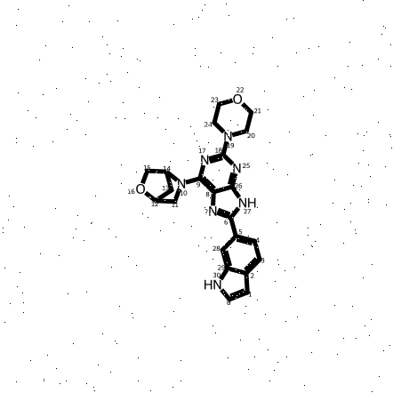 c1cc2ccc(-c3nc4c(N5CC6CC5CO6)nc(N5CCOCC5)nc4[nH]3)cc2[nH]1